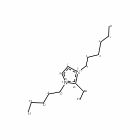 CCCCCC[n+]1ccn(CCCCC)c1CC